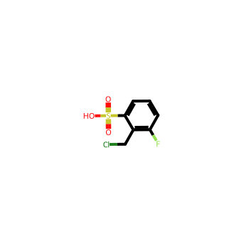 O=S(=O)(O)c1cccc(F)c1CCl